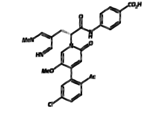 CN/C=C(\C=N)C[C@H](C(=O)Nc1ccc(C(=O)O)cc1)n1cc(OC)c(-c2cc(Cl)ccc2C(C)=O)cc1=O